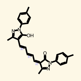 CC1=NN(c2ccc(C)cc2)C(=O)\C1=C/C=C/C=C/c1c(C)nn(-c2ccc(C)cc2)c1O